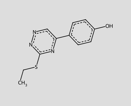 CCSc1nncc(-c2ccc(O)cc2)n1